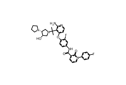 CC(C)(c1c(Oc2ccc(NC(=O)c3cccn(-c4ccc(F)cc4)c3=O)cc2F)ccnc1N)N1C[C@@H](O)[C@H](N2CCCC2)C1